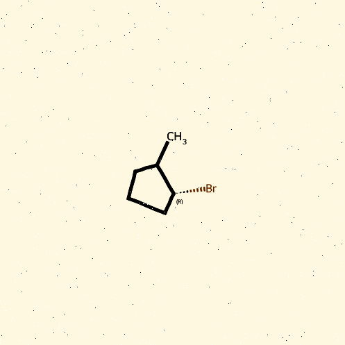 CC1CCC[C@H]1Br